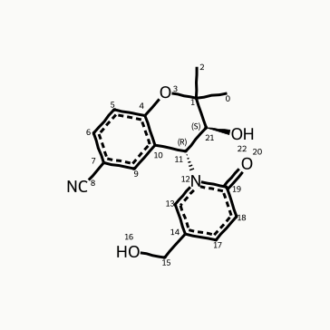 CC1(C)Oc2ccc(C#N)cc2[C@@H](n2cc(CO)ccc2=O)[C@@H]1O